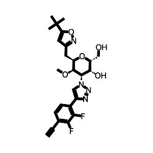 C#Cc1ccc(-c2cn([C@H]3[C@@H](O)[C@@H](CO)O[C@H](Cc4cc(C(C)(C)C)on4)[C@@H]3OC)nn2)c(F)c1F